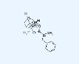 CC1(C)C2C[C@H]1C[C@H]1OB([C@@H](N)Cc3ccccc3)O[C@@]21C